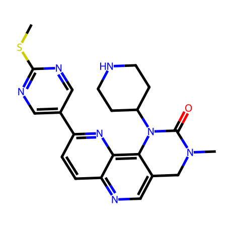 CSc1ncc(-c2ccc3ncc4c(c3n2)N(C2CCNCC2)C(=O)N(C)C4)cn1